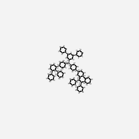 c1ccc(-c2cc(-c3ccccc3)cc(N(c3ccc(-c4ccc5c(c4)c(-c4ccccc4)c(-c4ccccc4)c4ccccc45)cc3)c3ccc(-c4cccc(-c5ccccc5)c4-c4ccccc4)cc3)c2)cc1